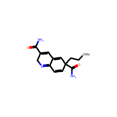 COCCC1(C(N)=O)C=CC2=NCC(C(N)=O)=CC2=C1